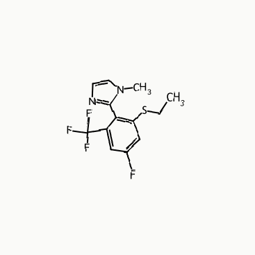 CCSc1cc(F)cc(C(F)(F)F)c1-c1nccn1C